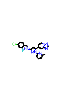 Cc1cccc(-n2nc(NCc3ccc(Cl)cc3F)cc2-c2ccn3ncnc3c2)n1